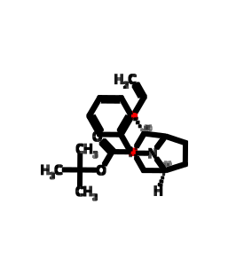 C=CC[C@@H]1C2CC[C@@H](CN1C(=O)OC(C)(C)C)N2Cc1ccccc1